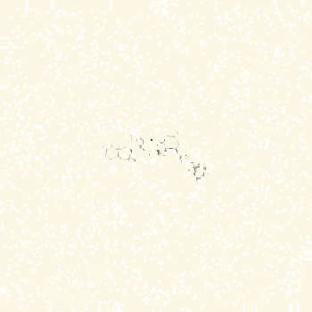 Cn1c(NC(=O)c2cc3ccccc3cn2)nc2c(C(=O)Nc3ncc[nH]3)cccc21